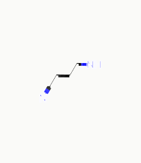 N#C/C=C/C=N